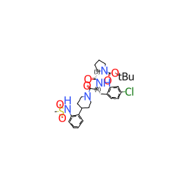 CC(C)(C)OC(=O)N1CCC[C@H]1C(=O)N[C@H](Cc1ccc(Cl)cc1)C(=O)N1CCC(c2ccccc2NS(C)(=O)=O)CC1